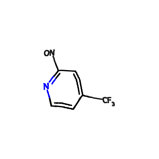 O=Nc1cc(C(F)(F)F)ccn1